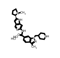 Cc1nn(CC2CCNCC2)c2cc(C(=O)Nc3cc4[nH]c([C@H]5CCCN5C)cc4cn3)ccc12.Cl.Cl